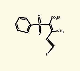 CCOC(=O)C(=C(C)C=CF)S(=O)(=O)c1ccccc1